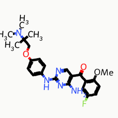 COc1ccc(F)cc1C(=O)c1cnc(Nc2ccc(OCC(C)(C)N(C)C)cc2)nc1N